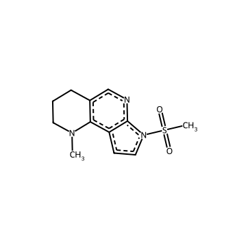 CN1CCCc2cnc3c(ccn3S(C)(=O)=O)c21